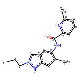 COc1cc2nn(CCI)cc2cc1NC(=O)c1cccc(C(F)(F)F)n1